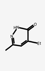 CCc1cc(C)n[nH]c1=O